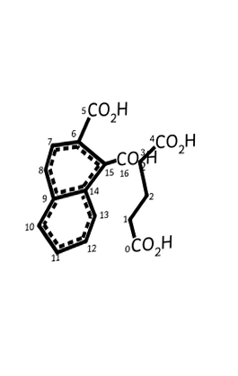 O=C(O)CCCC(=O)O.O=C(O)c1ccc2ccccc2c1C(=O)O